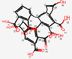 O=C(O)c1cccc(-c2c3c(c(C(=O)O)c(C(=O)O)c2-c2c4c(cc(C(=O)O)c2C(=O)O)C(O)C4)C(O)C3)c1C(=O)O